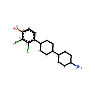 NC1CCC(C2CCC(c3ccc(O)c(F)c3F)CC2)CC1